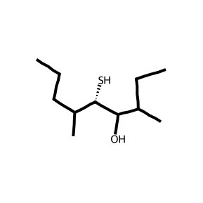 CCCC(C)[C@H](S)C(O)C(C)CC